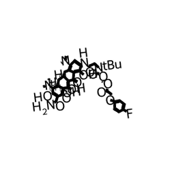 CN(C)c1cc(NC(=O)CN(C(=O)OCOC(=O)COc2ccc(F)cc2)C(C)(C)C)c(O)c2c1C[C@H]1C[C@H]3[C@H](N(C)C)C(O)=C(C(N)=O)C(=O)[C@@]3(O)C(O)=C1C2=O